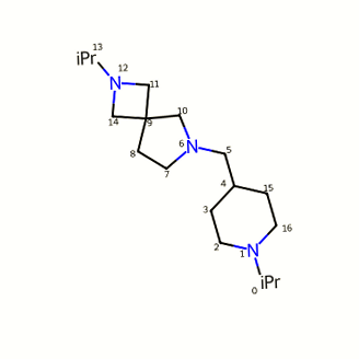 CC(C)N1CCC(CN2CCC3(C2)CN(C(C)C)C3)CC1